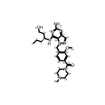 CCC[C@@H](CCO)Nc1nc(N)nc2cnn(Cc3ccc(C(=O)N4CCN(C)CC4)cc3OC)c12